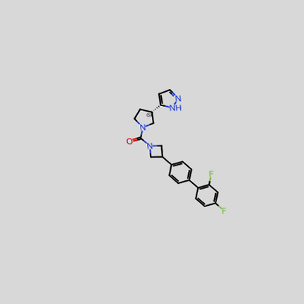 O=C(N1CC(c2ccc(-c3ccc(F)cc3F)cc2)C1)N1CC[C@H](c2ccn[nH]2)C1